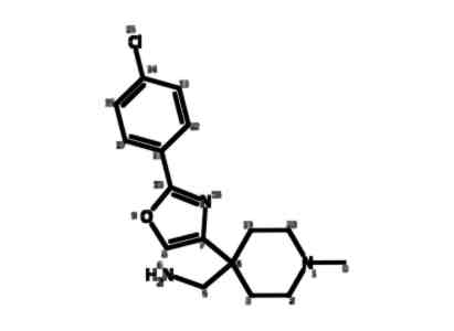 CN1CCC(CN)(c2coc(-c3ccc(Cl)cc3)n2)CC1